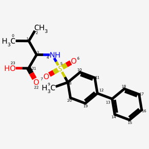 CC(C)C(NS(=O)(=O)C1(C)C=CC(c2ccccc2)=CC1)C(=O)O